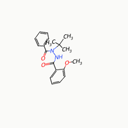 COc1ccccc1C(=O)NN(C(=O)c1ccccc1)C(C)(C)C